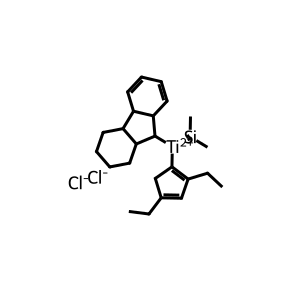 CCC1=CC(CC)=[C]([Ti+2]([CH]2C3C=CC=CC3C3CCCCC32)=[Si](C)C)C1.[Cl-].[Cl-]